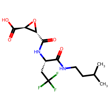 CC(C)CCNC(=O)[C@H](CC(F)(F)F)NC(=O)[C@H]1O[C@@H]1C(=O)O